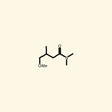 COCC(C)CC(=O)N(C)C